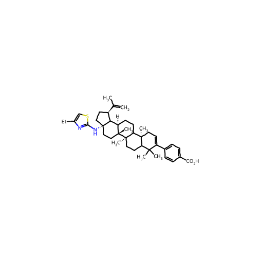 C=C(C)[C@@H]1CC[C@]2(Nc3nc(CC)cs3)CC[C@]3(C)[C@H](CCC4[C@@]5(C)CC=C(c6ccc(C(=O)O)cc6)C(C)(C)C5CC[C@]43C)C12